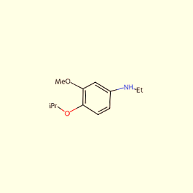 CCNc1ccc(OC(C)C)c(OC)c1